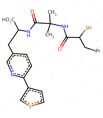 CC(C)CC(S)C(=O)NC(C)(C)C(=O)NC(Cc1ccc(-c2ccsc2)nc1)C(=O)O